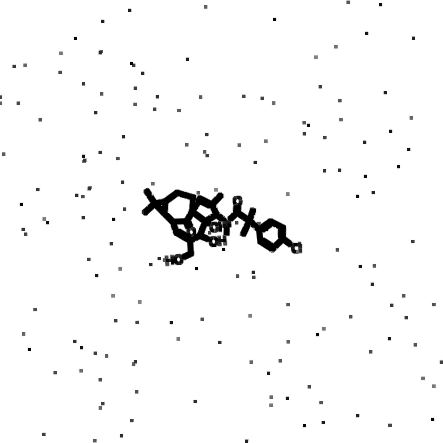 CC1=CC23CCC4C(C(C=C(CO)C(O)C2(O)C1N(C)C(=O)C(C)(C)c1ccc(Cl)cc1)C3=O)C4(C)C